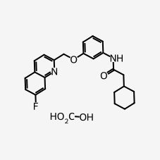 O=C(CC1CCCCC1)Nc1cccc(OCc2ccc3ccc(F)cc3n2)c1.O=C(O)O